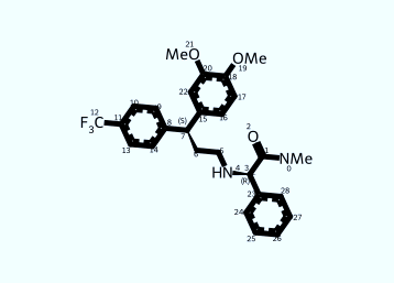 CNC(=O)[C@H](NCC[C@@H](c1ccc(C(F)(F)F)cc1)c1ccc(OC)c(OC)c1)c1ccccc1